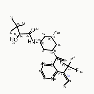 C=C(c1nccnc1/C(=C\C)C(F)(F)F)[C@H]1C[C@@H](C)C[C@@H](NC(=O)[C@@H](O)C(C)(C)C)C1